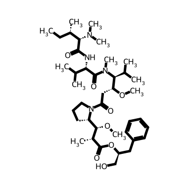 CC[C@H](C)[C@@H](C(=O)N[C@H](C(=O)N(C)[C@@H](C(C)C)[C@@H](CC(=O)N1CCC[C@H]1[C@H](OC)[C@@H](C)C(=O)O[C@H](CO)Cc1ccccc1)OC)C(C)C)N(C)C